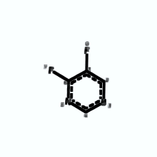 Fc1cbcnc1F